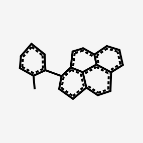 Cc1ccccc1-c1ccc2ccc3cccc4ccc1c2c34